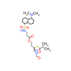 CC(C)C(=O)SC(=CNC=O)CCOC(=O)CCNS(=O)(=O)c1cccc2c(N(C)C)cccc12